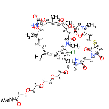 CNC(=O)CCOCCOCCOCCOCCNC(=O)CCN1C(=O)CC(SCCC(=O)N(C)CC(=O)OC2CC(=O)N(C)c3cc(cc(C)c3Cl)C/C(C)=C/C=C/C(C)C3(O)CC(OC(=O)N3)C(C)C3OC23C)C1=O